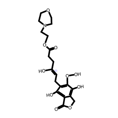 O=C(CC/C(O)=C/Cc1c(O)c2c(c(O)c1OO)COC2=O)OCCN1CCOCC1